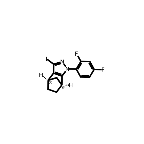 Fc1ccc(-n2nc(I)c3c2[C@H]2CC[C@@H]3C2)c(F)c1